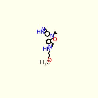 COCCCCNn1ccc2c(C(=O)N(C3CC3)C3CCc4[nH]ncc4C3)cccc21